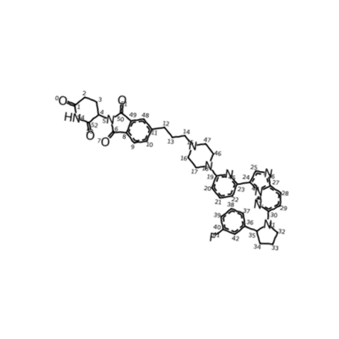 O=C1CCC(N2C(=O)c3ccc(CCCN4CCN(c5cccc(-c6cnc7ccc(N8CCCC8c8cccc(F)c8)nn67)n5)CC4)cc3C2=O)C(=O)N1